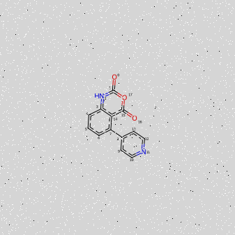 O=c1[nH]c2cccc(-c3ccncc3)c2c(=O)o1